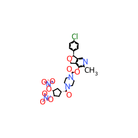 Cc1ncc2c(c1OC(=O)N1CCN(C(=O)[C@@H]3C[C@H](O[N+](=O)[O-])[C@H](O[N+](=O)[O-])C3)CC1)CO[C@H]2c1ccc(Cl)cc1